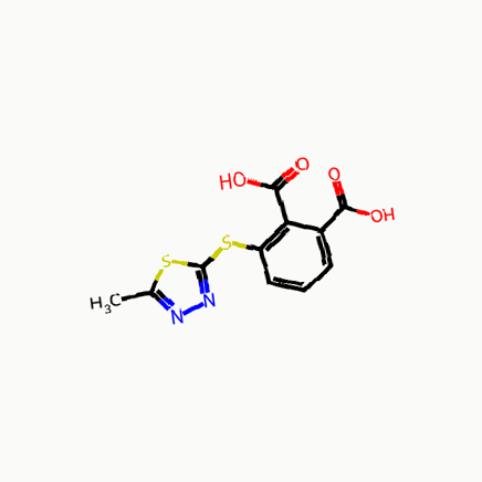 Cc1nnc(Sc2cccc(C(=O)O)c2C(=O)O)s1